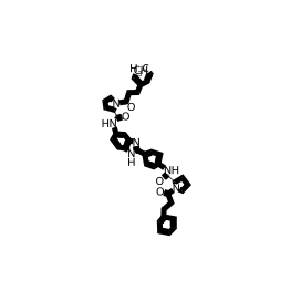 CC=C(/C=C\C)CCC(=O)N1CCC[C@H]1C(=O)Nc1ccc2[nH]c(-c3ccc(NC(=O)[C@@H]4CCCN4C(=O)CCc4ccccc4)cc3)nc2c1